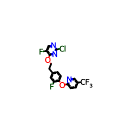 Fc1cc(CCOc2nc(Cl)ncc2F)ccc1Oc1ccc(C(F)(F)F)cn1